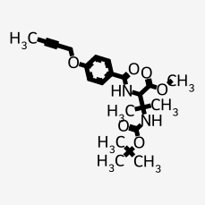 CC#CCOc1ccc(C(=O)NC(C(=O)OC)C(C)(C)NC(=O)OC(C)(C)C)cc1